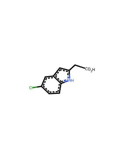 O=C(O)Cc1cc2cc(Cl)ccc2[nH]1